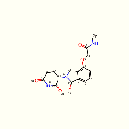 CC(C)NC(=O)COc1cccc2c1CN(C1CCC(=O)NC1=O)C2=O